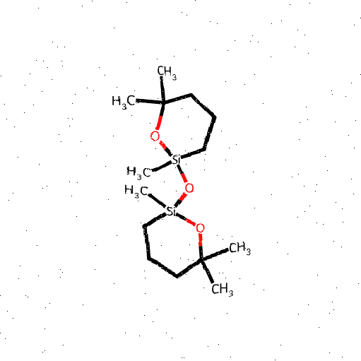 CC1(C)CCC[Si](C)(O[Si]2(C)CCCC(C)(C)O2)O1